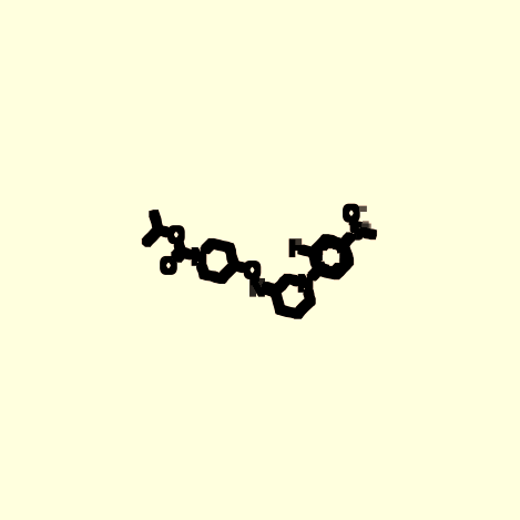 CC(C)OC(=O)N1CCC(O/N=C2/CCCN(c3ccc([S+](C)[O-])cc3F)C2)CC1